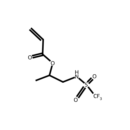 C=CC(=O)OC(C)CNS(=O)(=O)C(F)(F)F